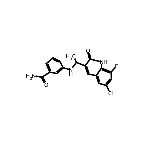 CC(Nc1cccc(C(N)=O)c1)c1cc2cc(Cl)cc(F)c2[nH]c1=O